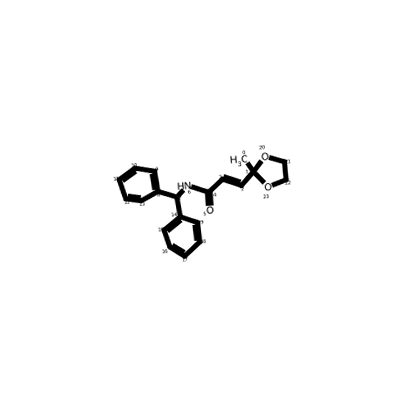 CC1(C=CC(=O)NC(c2ccccc2)c2ccccc2)OCCO1